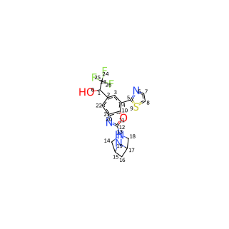 OC(c1cc(-c2nccs2)c2oc(N3CC4CC(C3)N4)nc2c1)C(F)(F)F